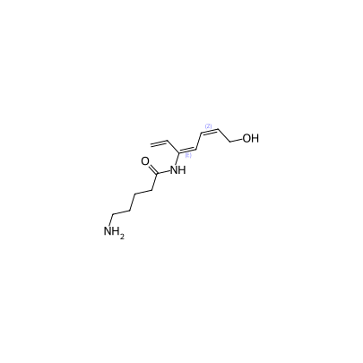 C=C/C(=C\C=C/CO)NC(=O)CCCCN